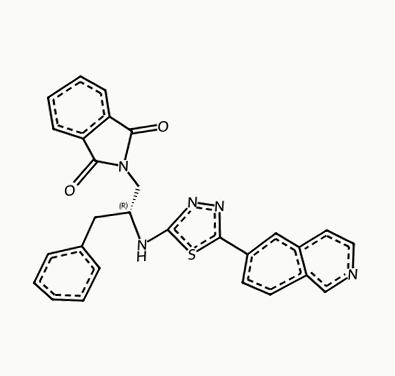 O=C1c2ccccc2C(=O)N1C[C@@H](Cc1ccccc1)Nc1nnc(-c2ccc3cnccc3c2)s1